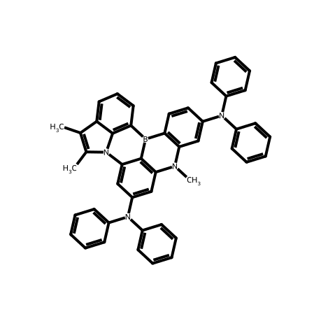 Cc1c(C)n2c3c(cccc13)B1c3ccc(N(c4ccccc4)c4ccccc4)cc3N(C)c3cc(N(c4ccccc4)c4ccccc4)cc-2c31